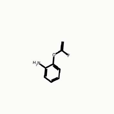 C=C(F)Oc1ccccc1N